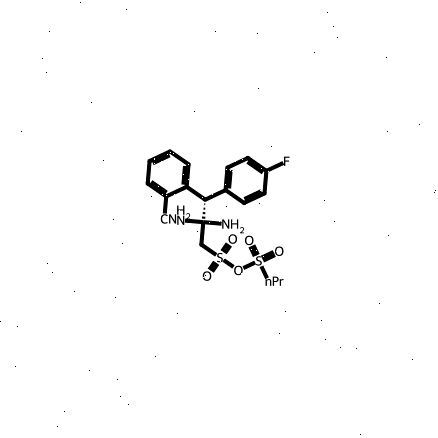 CCCS(=O)(=O)OS(=O)(=O)CC(N)(N)[C@@H](c1ccc(F)cc1)c1ccccc1C#N